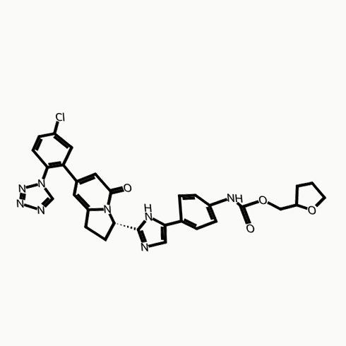 O=C(Nc1ccc(-c2cnc([C@@H]3CCc4cc(-c5cc(Cl)ccc5-n5cnnn5)cc(=O)n43)[nH]2)cc1)OCC1CCCO1